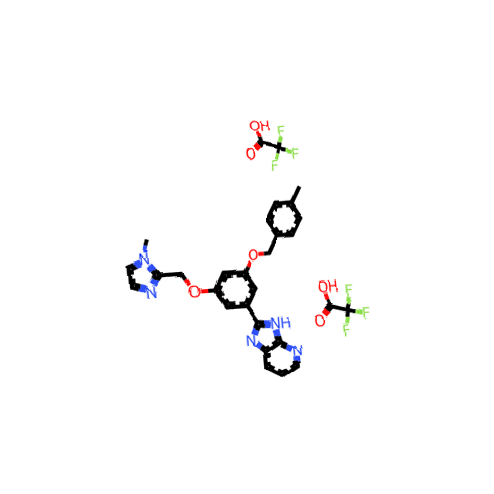 Cc1ccc(COc2cc(OCc3nccn3C)cc(-c3nc4cccnc4[nH]3)c2)cc1.O=C(O)C(F)(F)F.O=C(O)C(F)(F)F